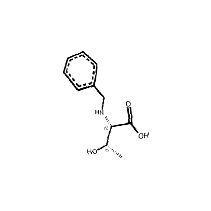 C[C@H](O)[C@H](NCc1ccccc1)C(=O)O